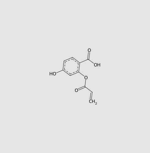 C=CC(=O)Oc1cc(O)ccc1C(=O)O